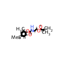 C=C(C)C(=O)OCCNC(=O)Oc1ccc(SC)cc1C